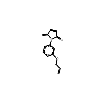 C=CCOc1cccc(N2C(=O)C=CC2=O)c1